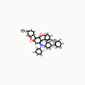 CC(C)(C)c1ccc2c(c1)oc1cc(N(c3ccccc3)c3ccc(-c4ccccc4)cc3)c3c4cc(C(C)(C)C)ccc4oc3c12